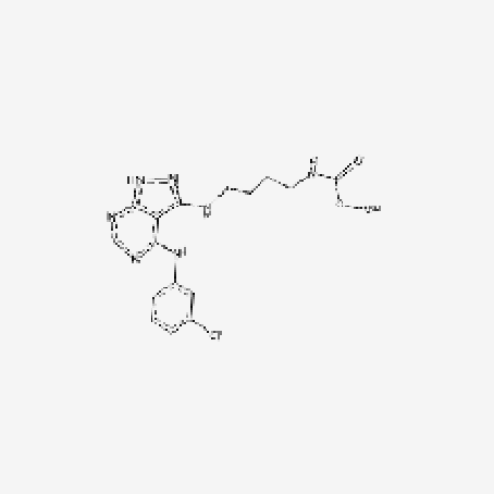 CC(C)(C)OC(=O)NCCCCNc1n[nH]c2ncnc(Nc3cccc(Cl)c3)c12